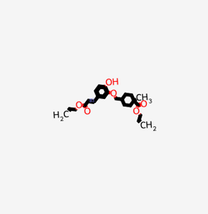 C=CCOC(=O)/C=C/c1ccc(O)c(OCC2CCC(C)(C(=O)OCC=C)CC2)c1